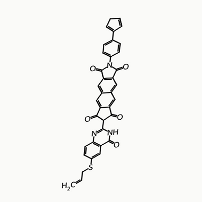 C=CCSc1ccc2nc(C3C(=O)c4cc5cc6c(cc5cc4C3=O)C(=O)N(c3ccc(C4=CCC=C4)cc3)C6=O)[nH]c(=O)c2c1